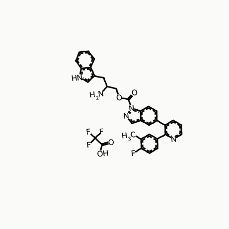 Cc1cc(-c2ncccc2-c2ccc3c(cnn3C(=O)OCC(N)Cc3c[nH]c4ccccc34)c2)ccc1F.O=C(O)C(F)(F)F